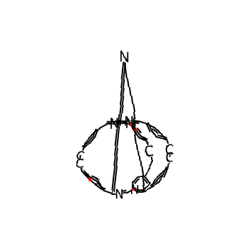 c1cc2ccc1CCc1ccc(cc1)-c1nc3nc(n1)-c1ccc(cc1)CCc1ccc(cc1)-c1nc-2nc(n1)-c1ccc(cc1)CCc1ccc-3cc1